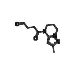 Cc1cc2n(n1)CCCN2C(=O)CCC=O